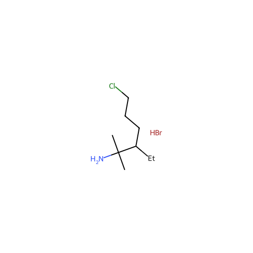 Br.CCC(CCCCl)C(C)(C)N